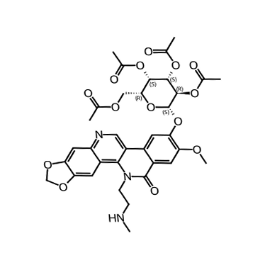 CNCCn1c(=O)c2cc(OC)c(O[C@@H]3O[C@H](COC(C)=O)[C@H](OC(C)=O)[C@H](OC(C)=O)[C@H]3OC(C)=O)cc2c2cnc3cc4c(cc3c21)OCO4